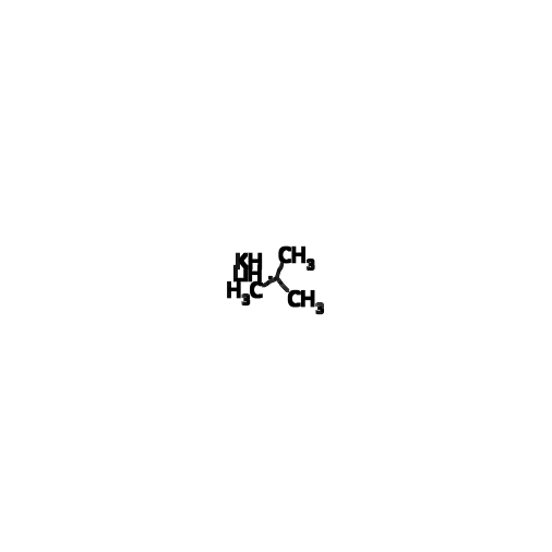 C[C](C)C.[KH].[LiH]